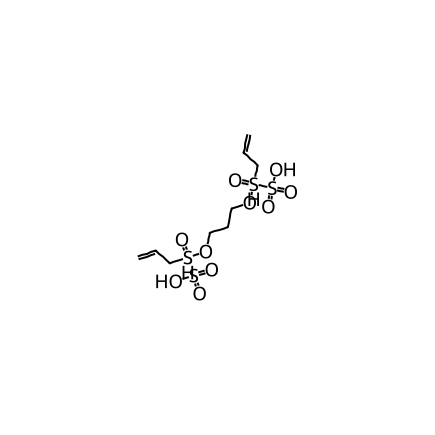 C=CC[SH](=O)(OCCCO[SH](=O)(CC=C)S(=O)(=O)O)S(=O)(=O)O